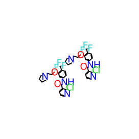 O=C(Nc1ccc(C(F)(F)F)c(OCCN2CCCC2)c1)c1cccnc1Cl.O=C(Nc1ccc(C(F)(F)F)c(OCCN2CCCC2)c1)c1cccnc1Cl